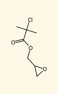 CC(C)(Cl)C(=O)OCC1CO1